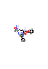 CS(=O)(=O)NCCCC[C@H](NC(=O)OCC1CCCCC1)C(=O)Nc1nc(-c2ccccc2)cs1